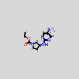 CCOC(=O)N1CCC(Nc2ncc(N)cn2)C1